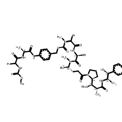 CC[C@H](C)[C@@H](CCC(=O)N1CCC[C@H]1[C@H](OC)[C@@H](C)C(=O)N[C@H](C)[C@@H](O)c1ccccc1)N(C)C(=O)[C@@H](NC(=O)C(C(C)C)N(C)C(=O)OCc1ccc(NC(=O)[C@H](C)NC(=O)C(NC(=O)OC(C)(C)C)C(C)C)cc1)C(C)C